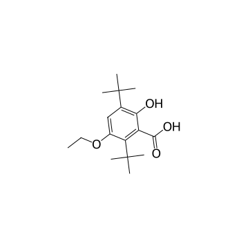 CCOc1cc(C(C)(C)C)c(O)c(C(=O)O)c1C(C)(C)C